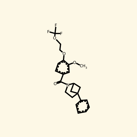 COc1cc(C(=O)N2CCC3(c4ccccc4)CC2C3)ccc1OCCOC(F)(F)F